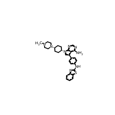 CN1CCN([C@H]2CC[C@@H](n3cc(-c4ccc(Nc5nc6ccccc6s5)cc4)c4c(N)ncnc43)CC2)CC1